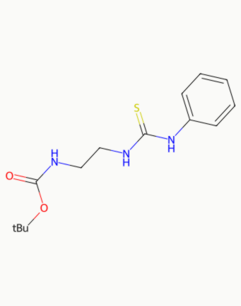 CC(C)(C)OC(=O)NCCNC(=S)Nc1ccccc1